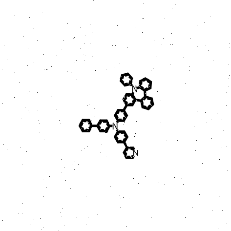 c1ccc(-c2ccc(N(c3ccc(-c4cccnc4)cc3)c3ccc(-c4ccc5c(c4)-c4ccccc4-c4ccccc4N5c4ccccc4)cc3)cc2)cc1